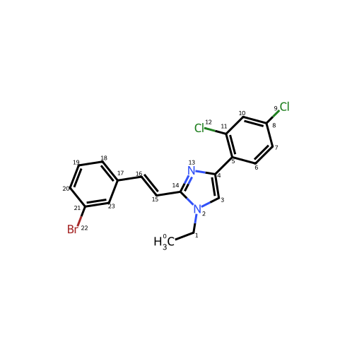 CCn1cc(-c2ccc(Cl)cc2Cl)nc1C=Cc1cccc(Br)c1